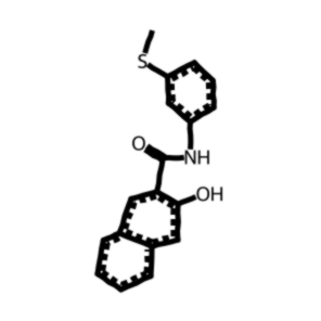 CSc1cccc(NC(=O)c2cc3ccccc3cc2O)c1